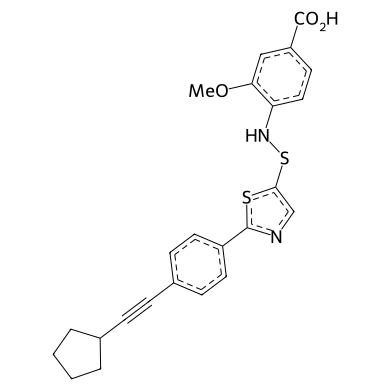 COc1cc(C(=O)O)ccc1NSc1cnc(-c2ccc(C#CC3CCCC3)cc2)s1